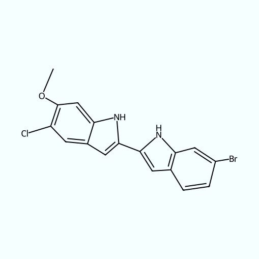 COc1cc2[nH]c(-c3cc4ccc(Br)cc4[nH]3)cc2cc1Cl